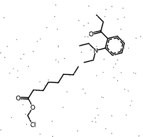 CCC(=O)c1ccccc1N(CC)CC.CCCCCCCC(=O)OCCl